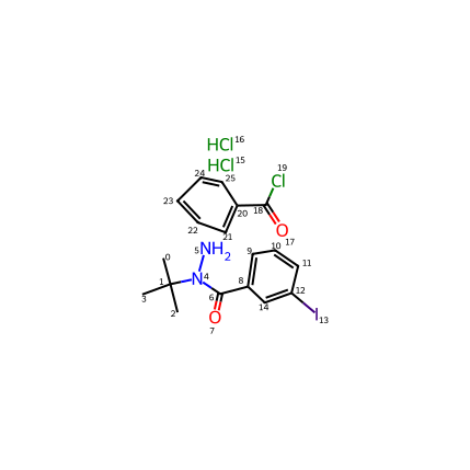 CC(C)(C)N(N)C(=O)c1cccc(I)c1.Cl.Cl.O=C(Cl)c1ccccc1